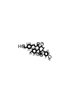 COc1ccc(C2CC(=O)C(C(=O)/C=C/c3ccc(CO)cc3)C(c3ccc(C)cc3)C2[N+](=O)[O-])cc1